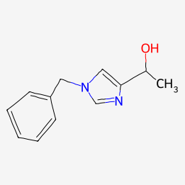 CC(O)c1cn(Cc2ccccc2)cn1